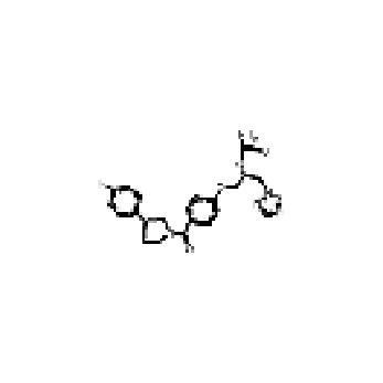 NC(=O)OC(COc1ccc(C(=O)N2CCC(c3ccc(F)cc3)C2)cc1)Cn1ncnn1